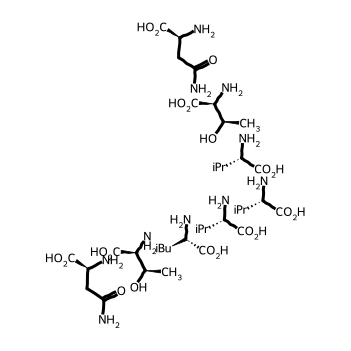 CC(C)[C@H](N)C(=O)O.CC(C)[C@H](N)C(=O)O.CC(C)[C@H](N)C(=O)O.CC[C@H](C)[C@H](N)C(=O)O.C[C@@H](O)[C@H](N)C(=O)O.C[C@@H](O)[C@H](N)C(=O)O.NC(=O)C[C@H](N)C(=O)O.NC(=O)C[C@H](N)C(=O)O